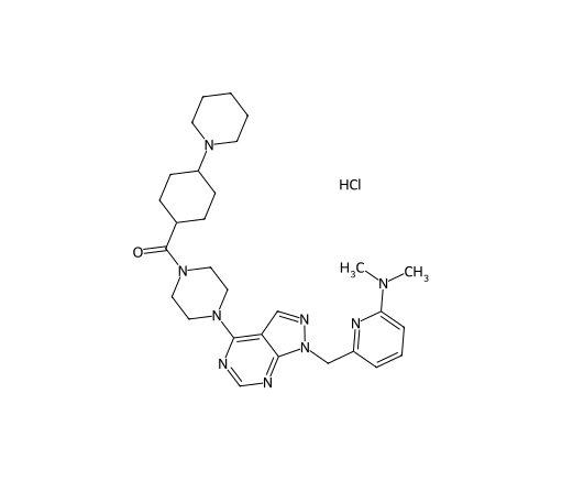 CN(C)c1cccc(Cn2ncc3c(N4CCN(C(=O)C5CCC(N6CCCCC6)CC5)CC4)ncnc32)n1.Cl